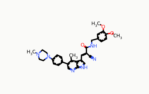 COc1ccc(CNC(=O)/C(C#N)=C/c2c[nH]c3ncc(-c4ccc(N5CCN(C)CC5)cc4)c(C)c23)cc1OC